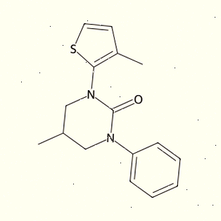 Cc1ccsc1N1CC(C)CN(c2ccccc2)C1=O